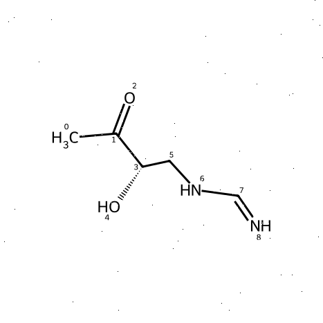 CC(=O)[C@@H](O)CNC=N